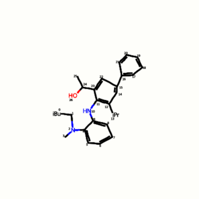 CCC(C)CN(C)c1ccccc1Nc1c(C(C)C)cc(-c2ccccc2)cc1C(C)O